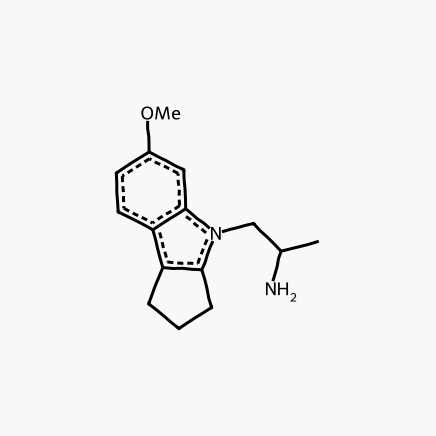 COc1ccc2c3c(n(CC(C)N)c2c1)CCC3